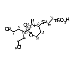 O=P1(N(CCCl)CCCl)NC(SCCS(=O)(=O)O)CCO1